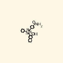 NC(=O)c1ccc(-c2nc(-c3ccccc3)nc(-c3cc4ccccc4cc3O)n2)cc1